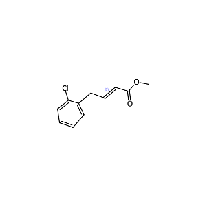 COC(=O)/C=C/Cc1ccccc1Cl